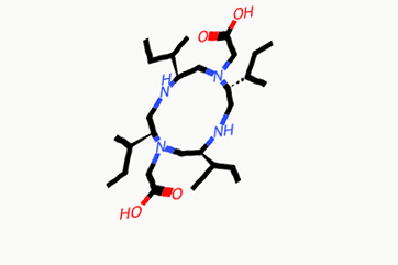 CCC(C)[C@H]1CN[C@@H](C(C)CC)CN(CC(=O)O)[C@H](C(C)CC)CN[C@@H](C(C)CC)CN1CC(=O)O